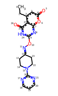 CCc1cc(=O)oc2nc(ON=C3CCN(c4ncccn4)CC3)[nH]c(=O)c12